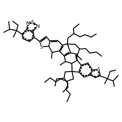 CCCCC(CC)CC1(CC(CC)CCCC)C2=C(C3=C1C=C1c4cc5sc(C(C)(CC)C(C)C)cc5cc4C(CC(CC)CCCC)(CC(CC)CCCC)C1C3C)C(C)C1SC(c3ccc(C(C)(CC)C(C)C)c4nsnc34)=CC1=C2